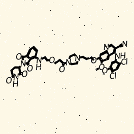 COc1cc(Nc2c(C#N)cnc3cc(OCCCN4CCN(C(=O)CCOCCNc5cccc6c5C(=O)N(C5CCC(=O)NC5=O)C6=O)CC4)c(OC)cc23)c(Cl)cc1Cl